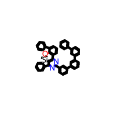 C[Si]1(C)c2ccccc2-c2nc(-c3cccc(-c4cccc(-c5cccc(-c6ccccc6)c5)c4)c3)nc(-c3cccc4c3oc3ccccc34)c21